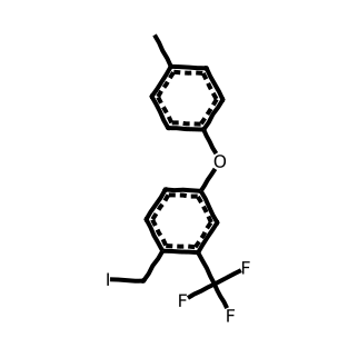 Cc1ccc(Oc2ccc(CI)c(C(F)(F)F)c2)cc1